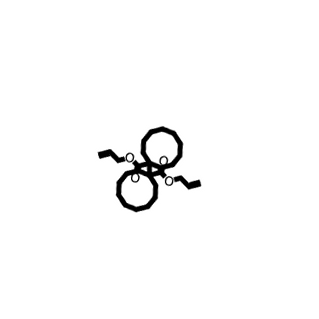 C=CCOC(=O)C1(C2(C(=O)OCC=C)CCCCCCCCC2)CCCCCCCCC1